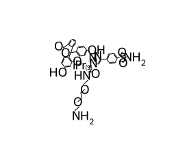 CC(C)[C@@H](C(=O)NCCOCCOCCN)n1cc(-c2ccc(S(N)(=O)=O)cc2)nn1.O=C1OC2(c3ccc(O)cc3Oc3cc(O)ccc32)c2ccccc21